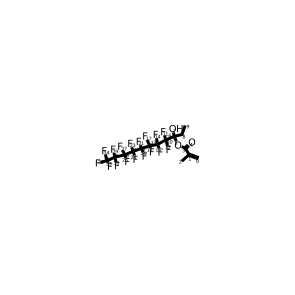 C=C(C)C(=O)OC(O)(CC)C(F)(F)C(F)(F)C(F)(F)C(F)(F)C(F)(F)C(F)(F)C(F)(F)C(F)(F)F